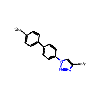 CC(C)c1cn(-c2ccc(-c3ccc(C(C)(C)C)cc3)cc2)nn1